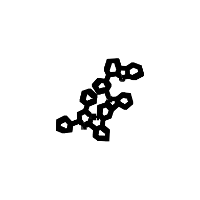 C1=CC(c2cccc(-n3c4c(c5c3C=CC(c3ccccc3C3=NC(c6ccccc6)CC(c6ccccc6)N3)C5)CCC=C4)c2)C2OC3C=CCCC3C2=C1